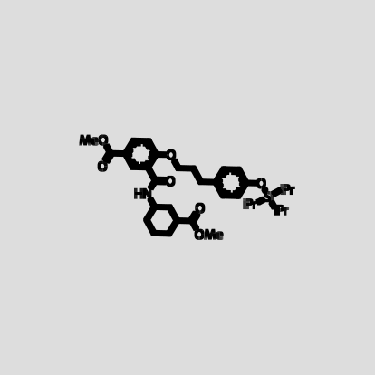 COC(=O)c1ccc(OCCCc2ccc(O[Si](C(C)C)(C(C)C)C(C)C)cc2)c(C(=O)NC2CCCC(C(=O)OC)C2)c1